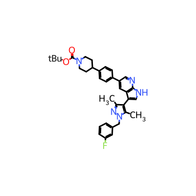 Cc1nn(Cc2cccc(F)c2)c(C)c1-c1c[nH]c2ncc(-c3ccc(C4CCN(C(=O)OC(C)(C)C)CC4)cc3)cc12